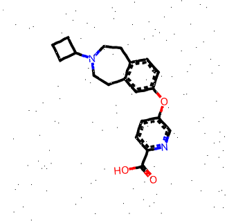 O=C(O)c1ccc(Oc2ccc3c(c2)CCN(C2CCC2)CC3)cn1